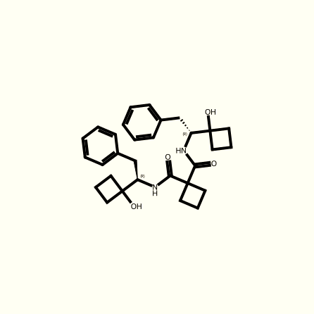 O=C(N[C@H](Cc1ccccc1)C1(O)CCC1)C1(C(=O)N[C@H](Cc2ccccc2)C2(O)CCC2)CCC1